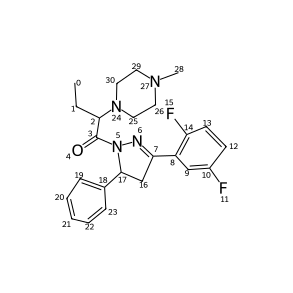 CCC(C(=O)N1N=C(c2cc(F)ccc2F)CC1c1ccccc1)N1CCN(C)CC1